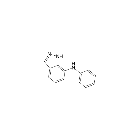 c1ccc(Nc2cccc3cn[nH]c23)cc1